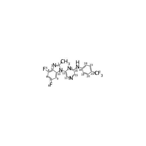 Cc1nc2c(F)cc(F)cc2n1-c1cncc(Nc2ccc(C(F)(F)F)cc2)n1